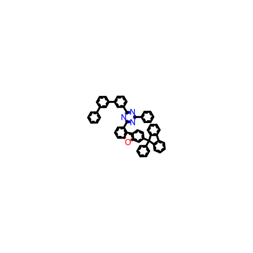 c1ccc(-c2cccc(-c3cccc(-c4nc(-c5ccccc5)nc(-c5cccc6oc7cc(C8(c9ccccc9)c9ccccc9-c9ccccc98)ccc7c56)n4)c3)c2)cc1